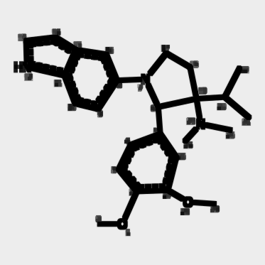 COc1ccc(C2N(c3ccc4[nH]ccc4c3)CCC2(C(C)C)N(C)C)cc1OC